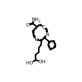 NC(=O)c1cccnc(-c2ccccc2)c(CCCCC(O)O)ncc1